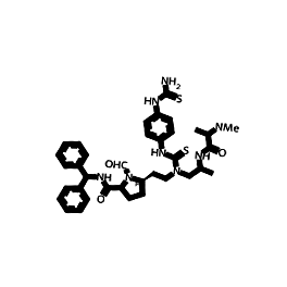 CNC(C)C(=O)NC(C)CN(CC[C@H]1CCC(C(=O)NC(c2ccccc2)c2ccccc2)N1C=O)C(=S)Nc1ccc(NC(N)=S)cc1